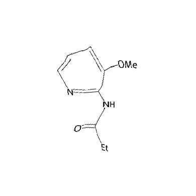 CCC(=O)Nc1ncccc1OC